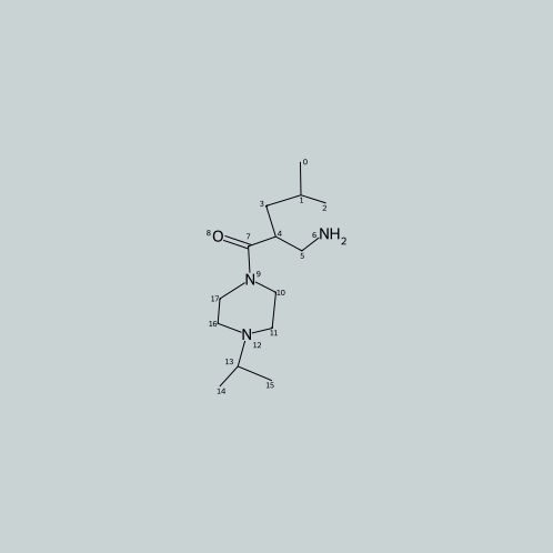 CC(C)CC(CN)C(=O)N1CCN(C(C)C)CC1